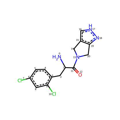 NC(Cc1ccc(Cl)cc1Cl)C(=O)N1Cc2c[nH]nc2C1